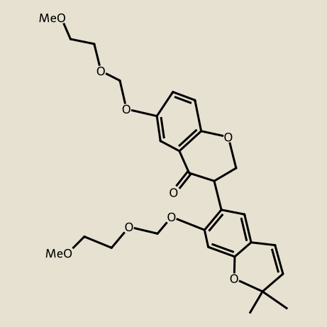 COCCOCOc1ccc2c(c1)C(=O)C(c1cc3c(cc1OCOCCOC)OC(C)(C)C=C3)CO2